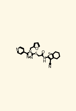 N#Cc1c(NC(=O)CSc2nnc(-c3ccncc3)n2Cc2ccco2)sc2c1CCCC2